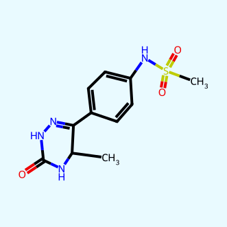 CC1NC(=O)NN=C1c1ccc(NS(C)(=O)=O)cc1